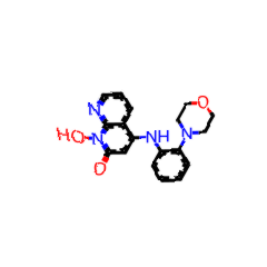 O=c1cc(Nc2ccccc2N2CCOCC2)c2cccnc2n1O